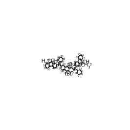 CC(C)(C)c1c2ccc(N(c3ccccc3)c3ccc4c(c3)C(C)(C)C3=C4C=CCC3)cc2c(C(C)(C)C)c2cc(N(c3ccccc3)c3ccc4c(c3)C(C)(C)c3ccccc3-4)ccc12